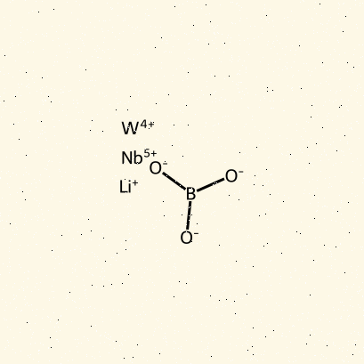 [Li+].[Nb+5].[O-]B([O-])[O-].[W+4]